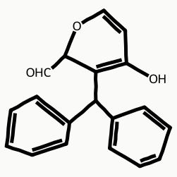 O=CC1OC=CC(O)=C1C(c1ccccc1)c1ccccc1